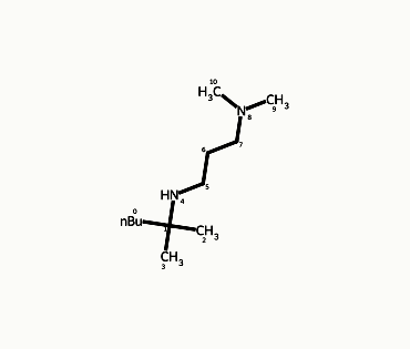 CCCCC(C)(C)NCCCN(C)C